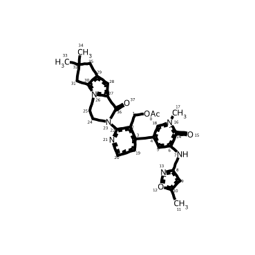 CC(=O)OCc1c(-c2cc(Nc3cc(C)on3)c(=O)n(C)c2)ccnc1N1CCn2c(cc3c2CC(C)(C)C3)C1=O